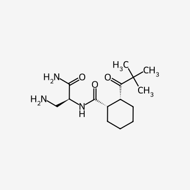 CC(C)(C)C(=O)[C@@H]1CCCC[C@@H]1C(=O)N[C@@H](CN)C(N)=O